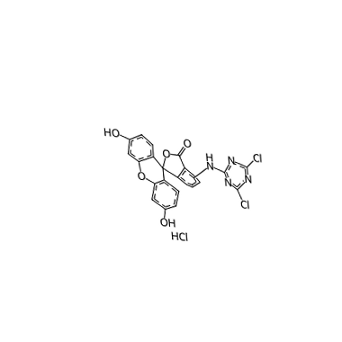 Cl.O=C1OC2(c3ccc(O)cc3Oc3cc(O)ccc32)c2cccc(Nc3nc(Cl)nc(Cl)n3)c21